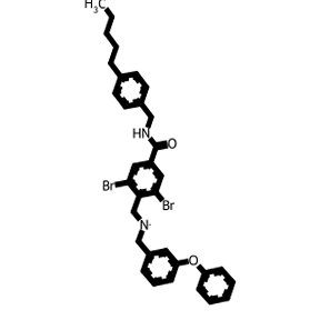 CCCCCc1ccc(CNC(=O)c2cc(Br)c(C[N]Cc3cccc(Oc4ccccc4)c3)c(Br)c2)cc1